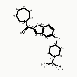 CC(C)N1CCC(Oc2ccc3[nH]c(C(=O)N4CCCCCC4)cc3c2)CC1